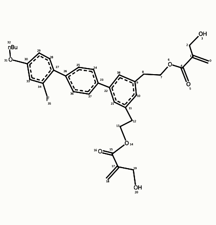 C=C(CO)C(=O)OCCc1cc(CCOC(=O)C(=C)CO)cc(-c2ccc(-c3ccc(OCCCC)cc3F)cc2)c1